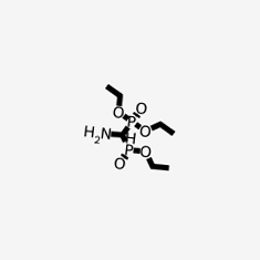 CCO[PH](=O)C(N)P(=O)(OCC)OCC